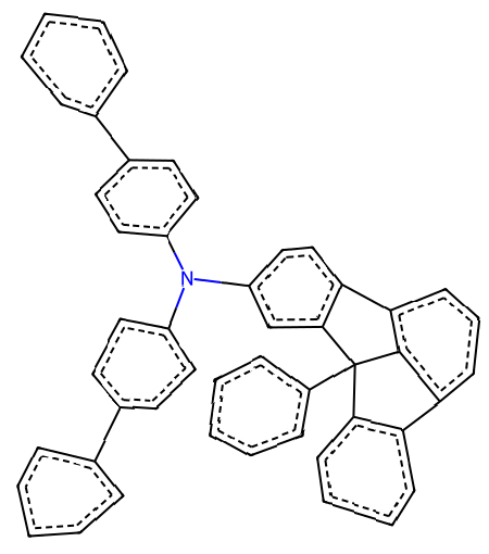 c1ccc(-c2ccc(N(c3ccc(-c4ccccc4)cc3)c3ccc4c(c3)C3(c5ccccc5)c5ccccc5-c5cccc-4c53)cc2)cc1